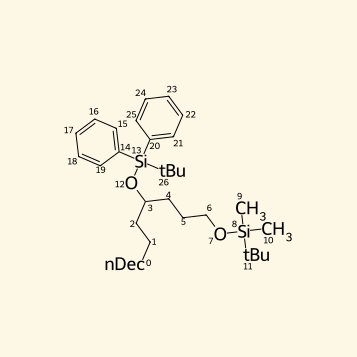 CCCCCCCCCCCCC(CCCO[Si](C)(C)C(C)(C)C)O[Si](c1ccccc1)(c1ccccc1)C(C)(C)C